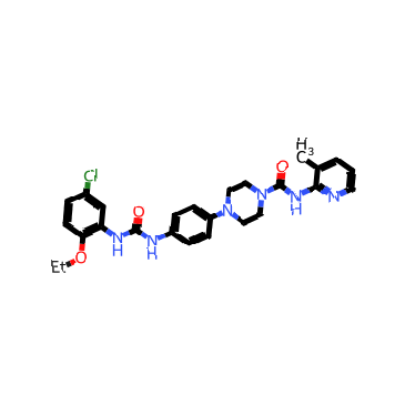 CCOc1ccc(Cl)cc1NC(=O)Nc1ccc(N2CCN(C(=O)Nc3ncccc3C)CC2)cc1